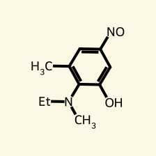 CCN(C)c1c(C)cc(N=O)cc1O